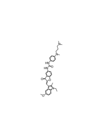 CCn1c(C)c(C=C2Oc3ccc(NC(=O)Nc4ccc(N(C)CCCN(C)C)cc4)cc3C2=O)c2cc(OC)ccc21